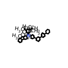 CC(C)(C)c1cc(N(c2ccc(-c3cccc(-c4ccc(C5CCCCC5)cc4)c3)cc2)c2ccc3c(c2)C(C)(C)c2ccccc2-3)cc(C(C)(C)C)c1